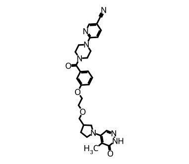 Cc1c(N2CCC(COCCOc3cccc(C(=O)N4CCN(c5ccc(C#N)cn5)CC4)c3)C2)cn[nH]c1=O